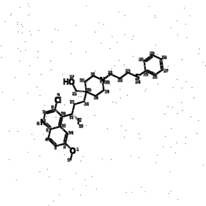 COc1ccc2ncc(Cl)c([C@@H](F)CCC3(CO)CCN(CCCSc4ccccc4)CC3)c2c1